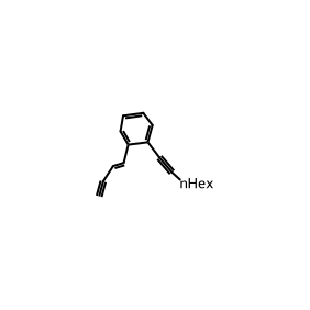 C#CC=Cc1ccccc1C#CCCCCCC